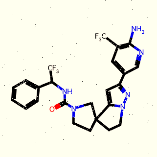 Nc1ncc(-c2cc3n(n2)CCC32CCN(C(=O)NC(c3ccccc3)C(F)(F)F)C2)cc1C(F)(F)F